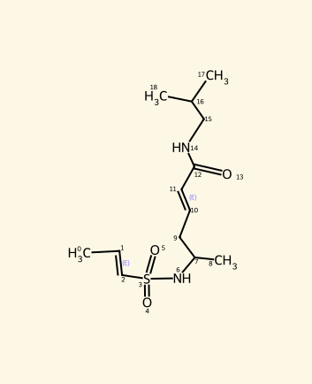 C/C=C/S(=O)(=O)NC(C)C/C=C/C(=O)NCC(C)C